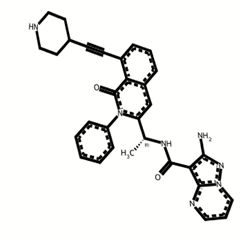 C[C@@H](NC(=O)c1c(N)nn2cccnc12)c1cc2cccc(C#CC3CCNCC3)c2c(=O)n1-c1ccccc1